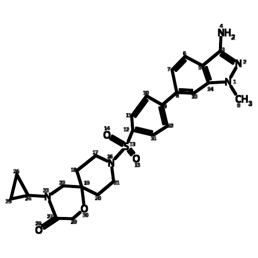 Cn1nc(N)c2ccc(-c3ccc(S(=O)(=O)N4CCC5(CC4)CN(C4CC4)C(=O)CO5)cc3)cc21